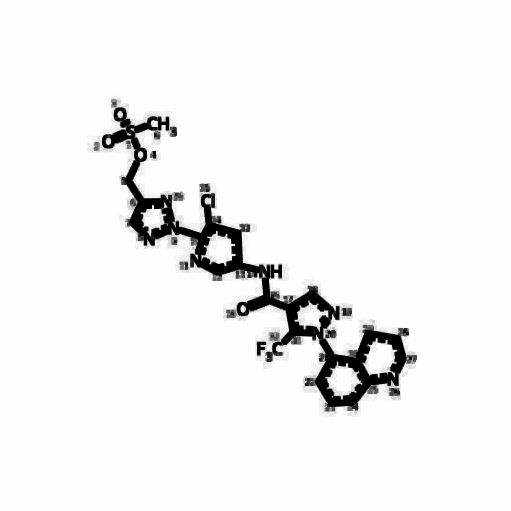 CS(=O)(=O)OCc1cnn(-c2ncc(NC(=O)c3cnn(-c4cccc5ncccc45)c3C(F)(F)F)cc2Cl)n1